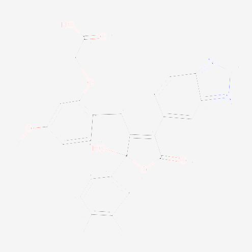 COc1ccc(CC2=C(c3ccc4nsnc4c3)C(=O)OC2(O)c2ccc(C)c(C)c2)c(OCC(=O)O)c1